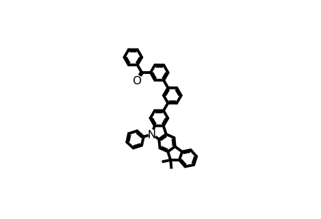 CC1(C)c2ccccc2-c2cc3c4cc(-c5cccc(-c6cccc(C(=O)c7ccccc7)c6)c5)ccc4n(-c4ccccc4)c3cc21